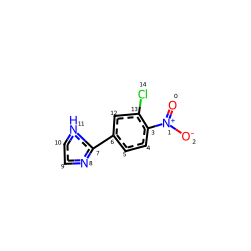 O=[N+]([O-])c1ccc(-c2ncc[nH]2)cc1Cl